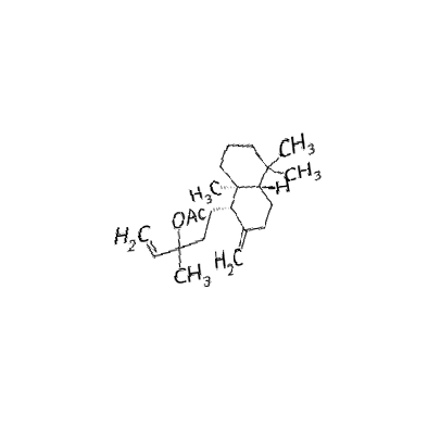 C=CC(C)(CC[C@H]1C(=C)CC[C@H]2C(C)(C)CCC[C@]12C)OC(C)=O